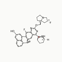 C#Cc1cccc2cc(O)cc(-c3c(F)cc4c(N5C[C@@H]6CCC5CN6)nc(OC[C@@]56CCCN5C[C@H](F)C6)nc4c3F)c12